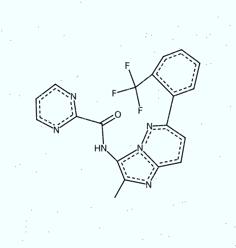 Cc1nc2ccc(-c3ccccc3C(F)(F)F)nn2c1NC(=O)c1ncccn1